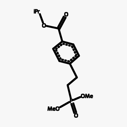 COP(=O)(CCc1ccc(C(=O)OC(C)C)cc1)OC